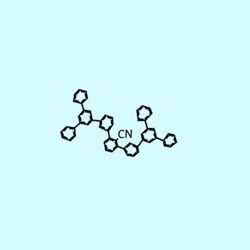 N#Cc1c(-c2cccc(-c3cc(-c4ccccc4)cc(-c4ccccc4)c3)c2)cccc1-c1cccc(-c2cc(-c3ccccc3)cc(-c3ccccc3)c2)c1